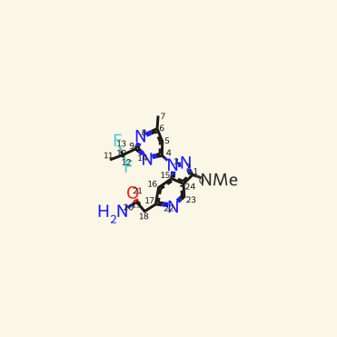 CNc1nn(-c2cc(C)nc(C(C)(F)F)n2)c2cc(CC(N)=O)ncc12